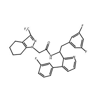 O=C(Cn1nc(C(F)(F)F)c2c1CCCC2)NC(Cc1cc(F)cc(F)c1)c1ncccc1-c1cccc(F)c1